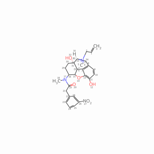 C=CCN1CC[C@]23c4c5ccc(O)c4OC2C(N(C)C(=O)Cc2cccc([N+](=O)[O-])c2)CC[C@@]3(O)[C@H]1C5